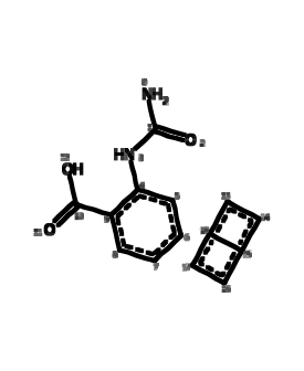 NC(=O)Nc1ccccc1C(=O)O.c1cc2ccc1-2